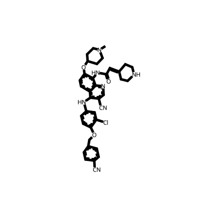 CN1CCC(Oc2ccc3c(Nc4ccc(OCc5ccc(C#N)cc5)c(Cl)c4)c(C#N)cnc3c2NC(=O)C=C2CCNCC2)CC1